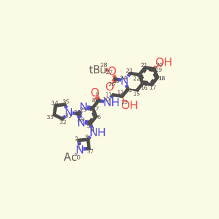 CC(=O)N1CC(Nc2cc(C(=O)NC[C@@H](O)[C@@H]3Cc4ccc(O)cc4CN3C(=O)OC(C)(C)C)nc(N3CCCC3)n2)C1